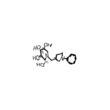 OC[C@@H]1[C@@H](O)[C@H](O)[C@@H](O)CN1C[C@H]1CCN(c2ccccc2)C1